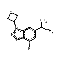 CC(C)c1cc(F)c2cnn(C3COC3)c2c1